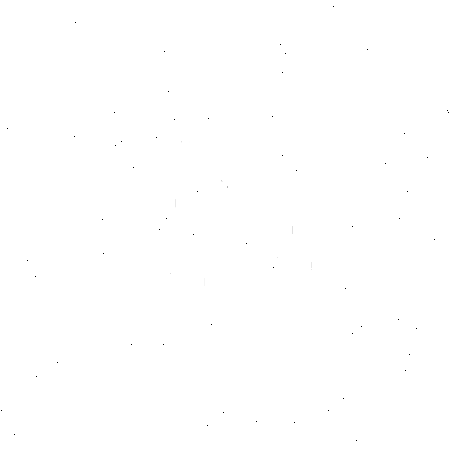 CC(C)(C)OC(=O)C(C)(CSC(C)(C)C)N=C=O